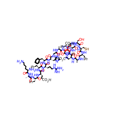 CC(C)C[C@H](NC(=O)[C@H](C)NC(=O)[C@@H](N)CCCCN)C(=O)N[C@@H](CCC(=O)O)C(=O)N[C@@H](CC(C)C)C(=O)N[C@@H](CCCNC(=N)N)C(=O)N[C@@H](Cc1ccccc1)C(=O)N[C@@H](Cc1c[nH]cn1)C(=O)NCC(=O)N[C@@H](C)C(=O)N[C@@H](CCCCN)C(=O)N[C@H](C(=O)N[C@H](C(=O)N[C@@H](CO)C(=O)N[C@@H](CS)C(=O)N[C@@H](CC(C)C)C(=O)N[C@@H](C)C(=O)N[C@@H](CCC(=O)O)C(=O)NCC(=O)N[C@H](C(=O)O)C(C)C)C(C)C)C(C)C